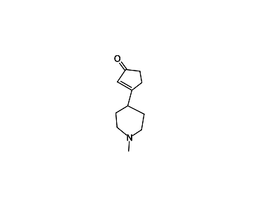 CN1CCC(C2=CC(=O)CC2)CC1